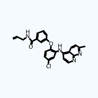 C=CCNC(=O)c1cccc(Oc2ccc(Cl)cc2Nc2ccnc3nc(C)ccc23)c1